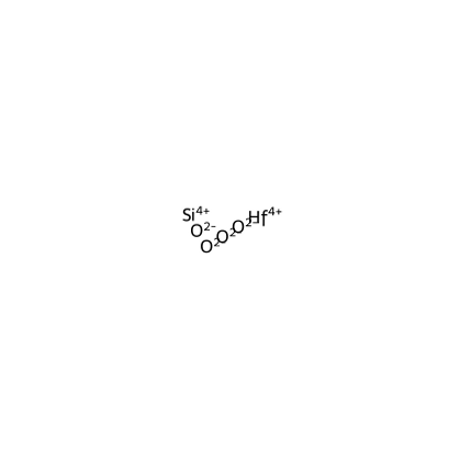 [Hf+4].[O-2].[O-2].[O-2].[O-2].[Si+4]